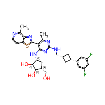 Cc1nc(NC[C@H]2C[C@@H](c3cc(F)cc(F)c3)C2)nc(N[C@@H]2C[C@H](CO)[C@@H](O)[C@H]2O)c1-c1nc2c(C)nccc2s1